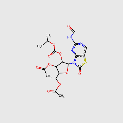 CC(=O)OCC1OC(n2c(=O)sc3cnc(NC=O)nc32)C(OC(=O)OC(C)C)C1OC(C)=O